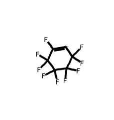 FC1=[C]C(F)(F)C(F)(F)C(F)(F)C1(F)F